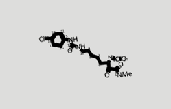 CNC(=O)C(=O)C(CCCCCNC(=O)Nc1ccc(Cl)cc1)N=C=O